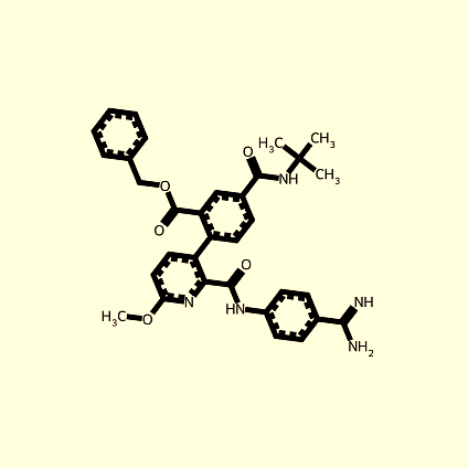 COc1ccc(-c2ccc(C(=O)NC(C)(C)C)cc2C(=O)OCc2ccccc2)c(C(=O)Nc2ccc(C(=N)N)cc2)n1